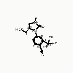 CN1C[C@H](CO)N(c2ccc(C#N)c(C(F)(F)F)c2)C1=O